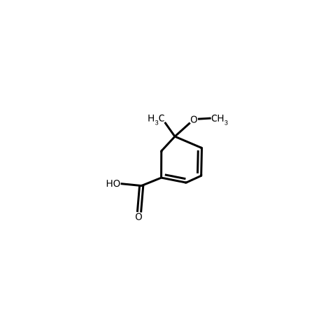 COC1(C)C=CC=C(C(=O)O)C1